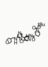 CC(C)(C)OC(=O)N1CCC[C@H](C(=O)Nc2cc(-c3cncc(NCC4CCOCC4)n3)c(Cl)cn2)C1